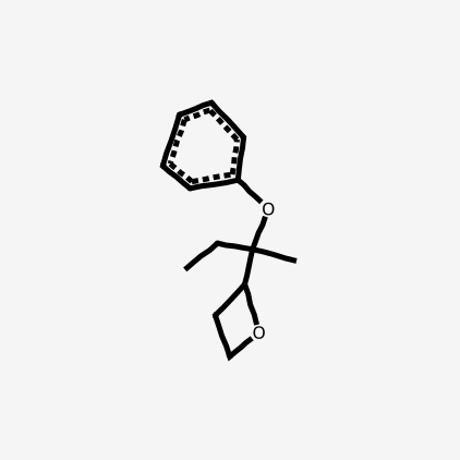 CCC(C)(Oc1ccccc1)C1CCO1